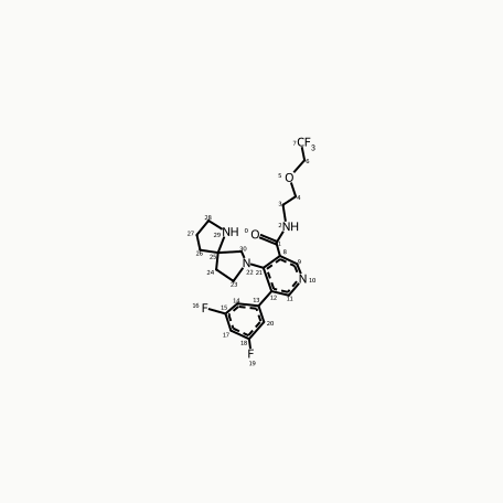 O=C(NCCOCC(F)(F)F)c1cncc(-c2cc(F)cc(F)c2)c1N1CCC2(CCCN2)C1